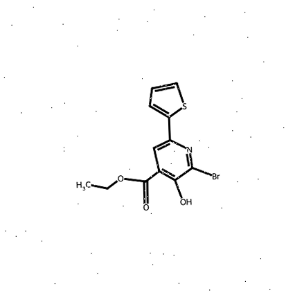 CCOC(=O)c1cc(-c2cccs2)nc(Br)c1O